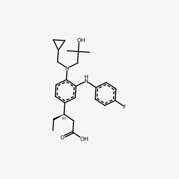 CC[C@H](CC(=O)O)c1ccc(N(CC2CC2)CC(C)(C)O)c(Nc2ccc(F)cc2)c1